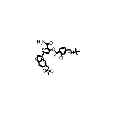 C[C@@H](Oc1cc(-c2cnc3ccc(CS(C)(=O)=O)cn23)sc1C(N)=O)c1ccc(CNC(C)(C)C)cc1Cl